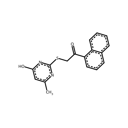 Cc1cc(O)nc(SCC(=O)c2cccc3ccccc23)n1